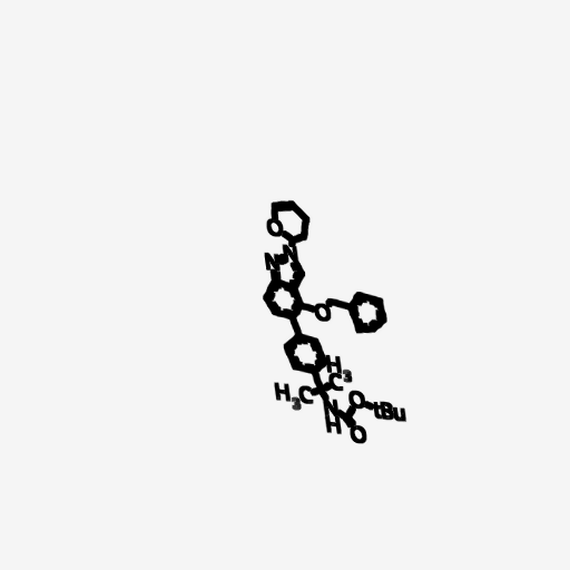 CC(C)(C)OC(=O)NC(C)(C)c1ccc(-c2ccc3nn(C4CCC=CO4)cc3c2OCc2ccccc2)cc1